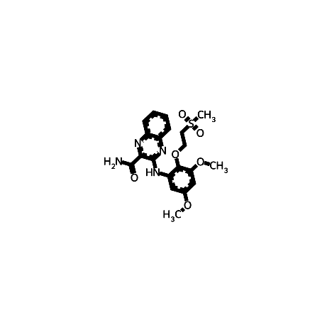 COc1cc(Nc2nc3ccccc3nc2C(N)=O)c(OCCS(C)(=O)=O)c(OC)c1